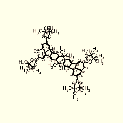 CCC1=CC(B2OC(C)(C)C(C)(C)O2)=C[C@@H]2c3cc4c(cc3/C(=C/C(C)B3OC(C)(C)C(C)(C)O3)C12)C(C)(C)c1cc2c(cc1C4(C)C)-c1cc(B3OC(C)(C)C(C)(C)O3)cc3cc(B4OC(C)(C)C(C)(C)O4)cc-2c13